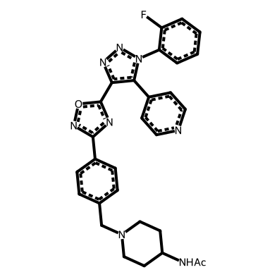 CC(=O)NC1CCN(Cc2ccc(-c3noc(-c4nnn(-c5ccccc5F)c4-c4ccncc4)n3)cc2)CC1